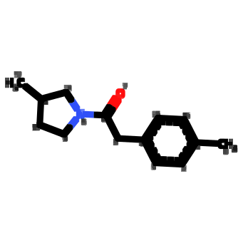 Cc1ccc(CC(=O)N2CCC(C)C2)cc1